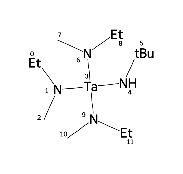 CC[N](C)[Ta]([NH]C(C)(C)C)([N](C)CC)[N](C)CC